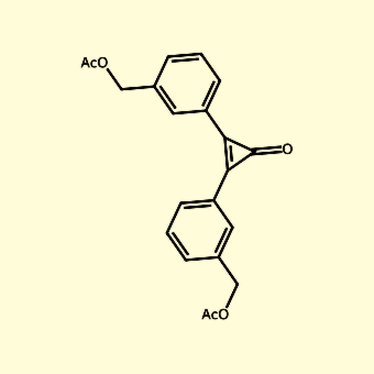 CC(=O)OCc1cccc(-c2c(-c3cccc(COC(C)=O)c3)c2=O)c1